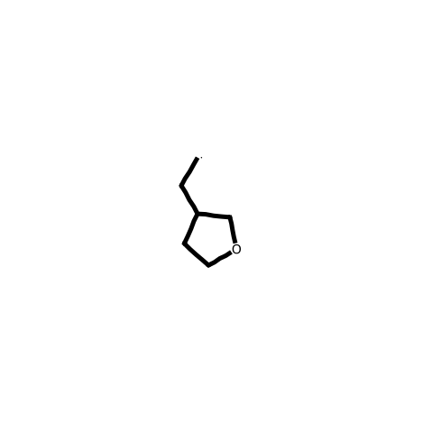 [CH2]CC1CCOC1